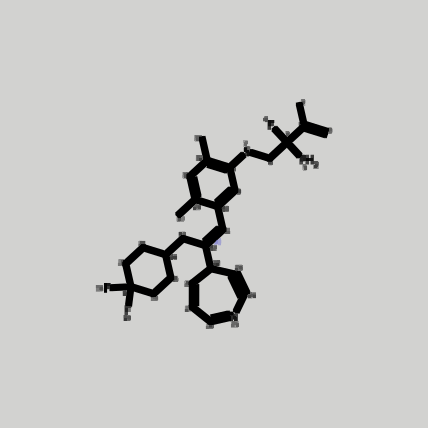 C=C(C)C(F)(P)CSc1cc(/C=C(\CC2CCC(F)(F)CC2)C2C#CN=CC=C2)c(C)cc1C